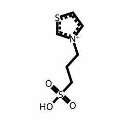 O=S(=O)(O)CCC[n+]1ccsc1